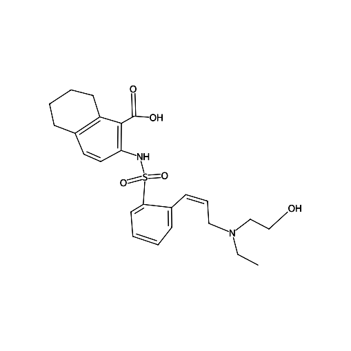 CCN(C/C=C\c1ccccc1S(=O)(=O)Nc1ccc2c(c1C(=O)O)CCCC2)CCO